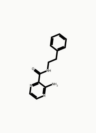 Nc1nccnc1C(=O)NCCc1ccccc1